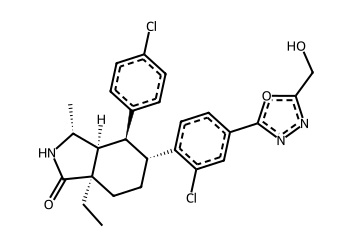 CC[C@@]12CC[C@@H](c3ccc(-c4nnc(CO)o4)cc3Cl)[C@H](c3ccc(Cl)cc3)[C@@H]1[C@@H](C)NC2=O